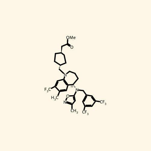 COC(=O)C[C@H]1CC[C@H](CN2CCC[C@H](N(Cc3cc(C(F)(F)F)cc(C(F)(F)F)c3)c3cc(C)no3)c3cc(C)c(C(F)(F)F)cc32)CC1